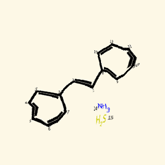 C(=Cc1ccccc1)c1ccccc1.N.S